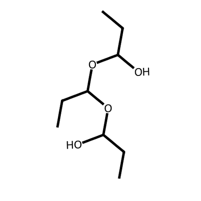 CCC(O)OC(CC)OC(O)CC